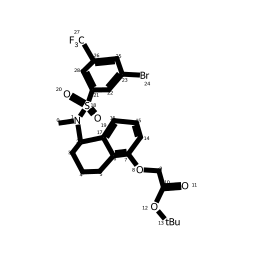 CN(C1CCCc2c(OCC(=O)OC(C)(C)C)cccc21)S(=O)(=O)c1cc(Br)cc(C(F)(F)F)c1